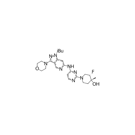 CC[C@@H](C)n1nc(N2CCOCC2)c2cnc(Nc3ccnc(N4CC[C@@](C)(O)[C@@H](F)C4)n3)cc21